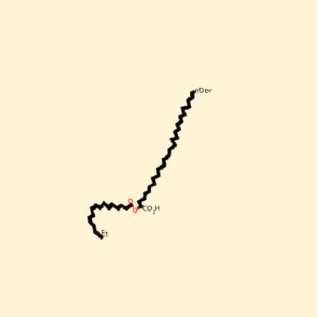 CC/C=C\C/C=C\C/C=C\CCCCCCCC(=O)OC(CCCCCCCCCCCCCCCCCCCCCCCCCCCCCCCCCCCCC)C(=O)O